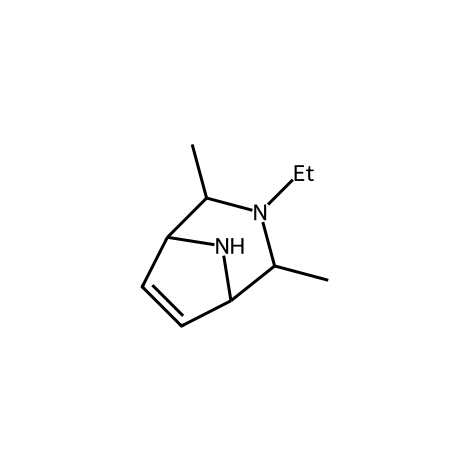 CCN1C(C)C2C=CC(N2)C1C